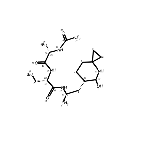 C[C@H](C[C@@H]1CCC2(CC2)NC1O)NC(=O)[C@H](CC(C)(C)C)NC(=O)[C@@H](NC(=O)C(F)(F)F)C(C)(C)C